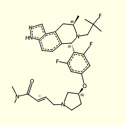 C[C@@H]1Cc2c(ccc3[nH]ncc23)[C@@H](c2c(F)cc(O[C@H]3CCN(C/C=C/C(=O)N(C)C)C3)cc2F)N1CC(C)(C)F